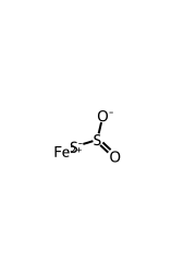 O=S([O-])[S-].[Fe+2]